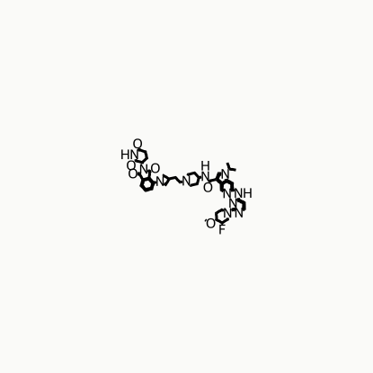 CO[C@H]1CCN(c2nccc(Nc3cc4c(cn3)c(C(=O)NC3CCN(CCC5CN(c6cccc7c6C(=O)N(C6CCC(=O)NC6=O)C7=O)C5)CC3)cn4C(C)C)n2)C[C@H]1F